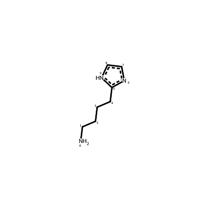 NCCCCc1ncc[nH]1